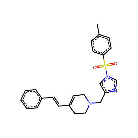 Cc1ccc(S(=O)(=O)n2cnc(CN3CC=C(C=Cc4ccccc4)CC3)c2)cc1